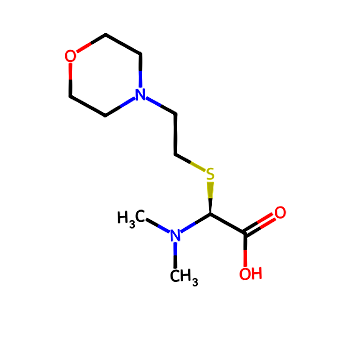 CN(C)[C@@H](SCCN1CCOCC1)C(=O)O